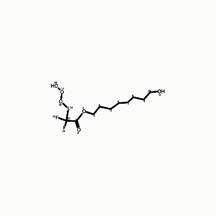 O=C(OCCCCCCCCO)C(F)(F)SOOO